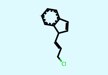 ClCC=CC1C=Cc2cc[c]cc21